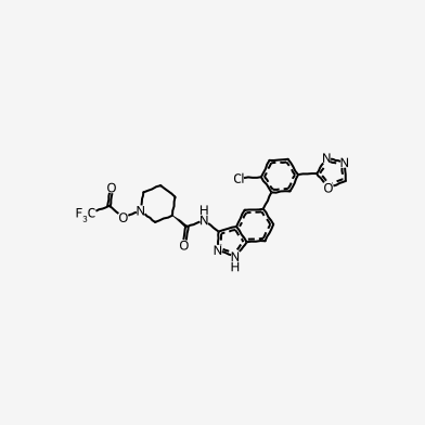 O=C(Nc1n[nH]c2ccc(-c3cc(-c4nnco4)ccc3Cl)cc12)[C@@H]1CCCN(OC(=O)C(F)(F)F)C1